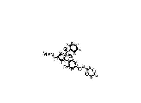 CNCc1cc(-c2ccc(OC[C@@H]3COCCO3)cc2F)n(S(=O)(=O)c2cccnc2)c1